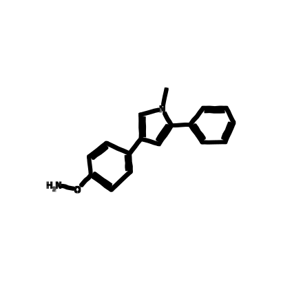 Cn1cc(-c2ccc(ON)cc2)cc1-c1ccccc1